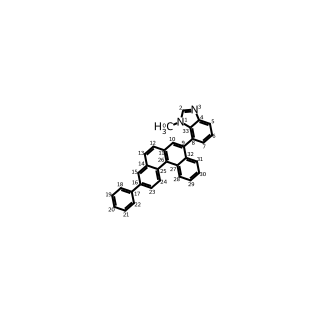 Cn1cnc2cccc(-c3cc4ccc5cc(-c6ccccc6)ccc5c4c4ccccc34)c21